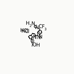 CC(O)COc1cccc2ccc(-c3nnc4ccc([C@@H](N5CCC(N)C5)C(F)(F)F)cn34)nc12.Cl.Cl